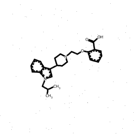 CC(C)Cn1cc(C2CCN(CCOc3ccccc3C(=O)O)CC2)c2ccccc21